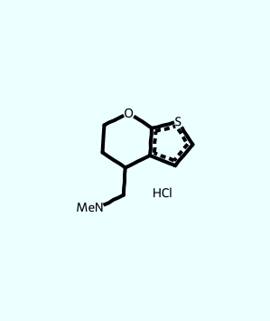 CNCC1CCOc2sccc21.Cl